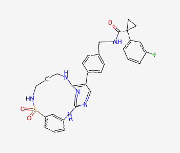 O=C(NCc1ccc(-c2cnc3nc2NCCCNS(=O)(=O)c2cccc(c2)N3)cc1)C1(c2cccc(F)c2)CC1